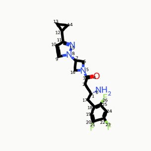 N[C@@H](CC(=O)N1CC(n2ccc(C3CC3)n2)C1)Cc1cc(F)c(F)cc1F